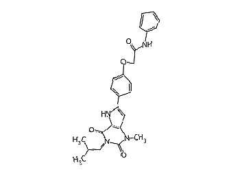 CC(C)Cn1c(=O)c2[nH]c(-c3ccc(OCC(=O)Nc4ccccc4)cc3)cc2n(C)c1=O